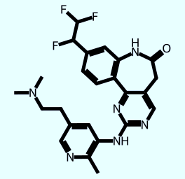 Cc1ncc(CCN(C)C)cc1Nc1ncc2c(n1)-c1ccc(C(F)C(F)F)cc1NC(=O)C2